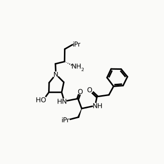 CC(C)C[C@H](N)CN1CC(O)C(NC(=O)[C@H](CC(C)C)NC(=O)Cc2ccccc2)C1